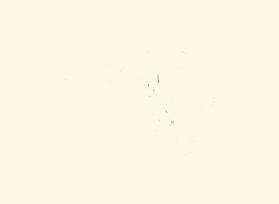 CC(O)[C@@]12CO[C@@](c3ccc(Cl)c(Cc4ccc(OCC(F)(F)F)cc4)c3)(O1)[C@H](OCc1ccccc1)[C@@H](OCc1ccccc1)[C@@H]2OCc1ccccc1